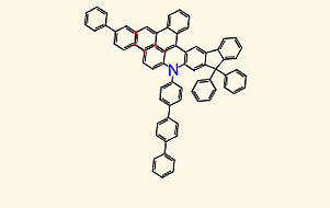 c1ccc(-c2ccc(-c3ccc(N(c4ccc(-c5ccc(-c6ccccc6)cc5)cc4)c4cc5c(cc4-c4cc6ccccc6c6ccccc46)-c4ccccc4C5(c4ccccc4)c4ccccc4)cc3)cc2)cc1